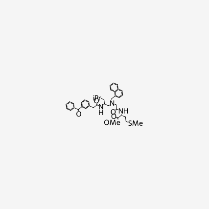 COC(=O)[C@H](CCSC)NC(=O)CN(Cc1cccc2ccccc12)C[C@H](CC(C)C)NC(=O)Cc1cccc(C(=O)c2ccccc2)c1